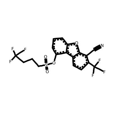 N#Cc1c(C(F)(F)F)ccc2c1oc1cccc(OS(=O)(=O)CCCC(F)(F)F)c12